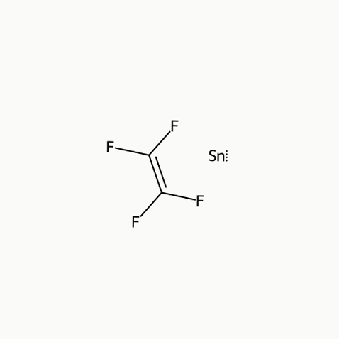 FC(F)=C(F)F.[Sn]